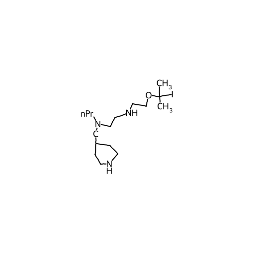 CCCN(CCNCCOC(C)(C)I)CC1CCNCC1